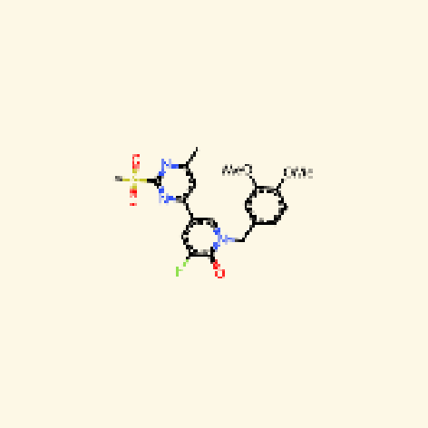 COc1ccc(Cn2cc(-c3cc(C)nc(S(C)(=O)=O)n3)cc(F)c2=O)cc1OC